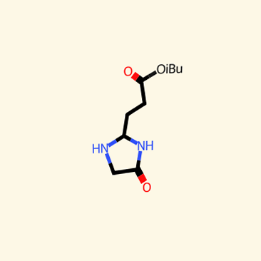 CC(C)COC(=O)CCC1NCC(=O)N1